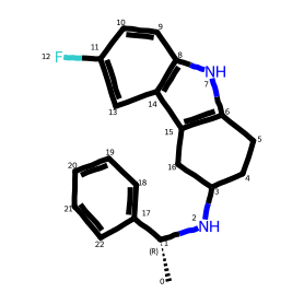 C[C@@H](NC1CCc2[nH]c3ccc(F)cc3c2C1)c1ccccc1